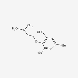 CN(C)CCOc1c(C=O)cc(C(C)(C)C)cc1C(C)(C)C